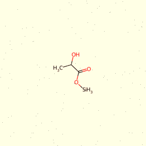 CC(O)C(=O)O[SiH3]